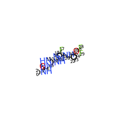 CC(C)NC(=O)CN/C=C(\C=N)Nc1ncc(F)c(NCc2cccc(OC(F)F)c2)n1